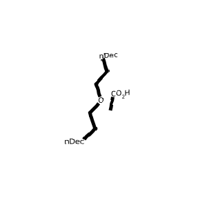 CC(=O)O.CCCCCCCCCCCCOCCCCCCCCCCCC